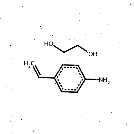 C=Cc1ccc(N)cc1.OCCO